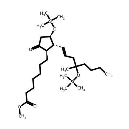 CCCCC(C)(C/C=C/[C@H]1[C@H](O[Si](C)(C)C)CC(=O)[C@@H]1CCCCCCC(=O)OC)O[Si](C)(C)C